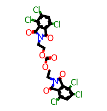 O=C(OCCN1C(=O)c2c(Cl)cc(Cl)c(Cl)c2C1=O)OCCN1C(=O)c2c(Cl)cc(Cl)c(Cl)c2C1=O